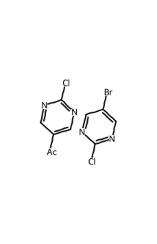 CC(=O)c1cnc(Cl)nc1.Clc1ncc(Br)cn1